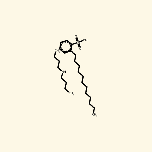 CCCCCCCCCCCCc1ccccc1S(=O)(=O)O.CCCCNCCCC